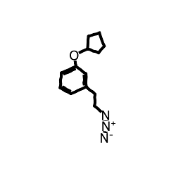 [N-]=[N+]=NCCc1cccc(OC2CCCC2)c1